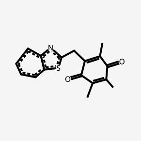 CC1=C(C)C(=O)C(Cc2nc3ccccc3s2)=C(C)C1=O